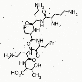 CC(C)C[C@H](NC(=O)[C@@H](CC(C)C)NC(=O)[C@H](CCN)NC(=O)[C@@H](N)CCCN)C(=O)N[C@@H](CCN)C(=O)N[C@H](C(=O)O)[C@@H](C)O